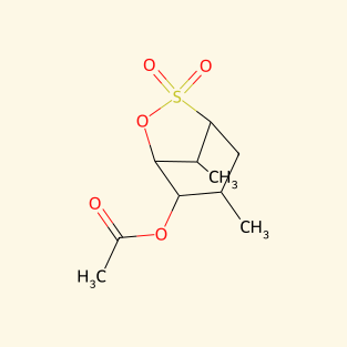 CC(=O)OC1C(C)CC2C(C)C1OS2(=O)=O